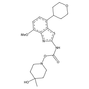 COc1ccc(C2CCOCC2)c2sc(NC(=O)ON3CCC(C)(O)CC3)nc12